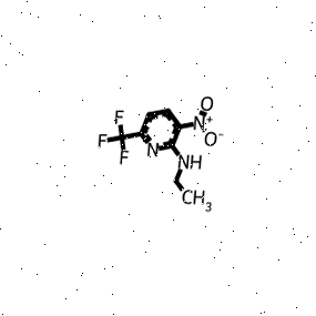 CCNc1nc(C(F)(F)F)ccc1[N+](=O)[O-]